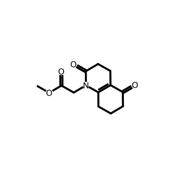 COC(=O)CN1C(=O)CCC2=C1CCCC2=O